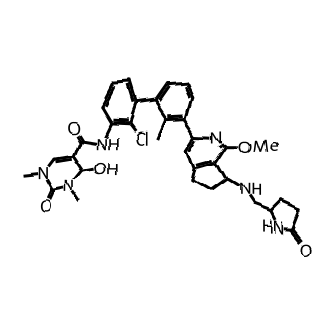 COc1nc(-c2cccc(-c3cccc(NC(=O)C4=CN(C)C(=O)N(C)C4O)c3Cl)c2C)cc2c1C(NCC1CCC(=O)N1)CC2